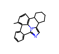 Cc1ccc2c3c1c1ccccc1c1ncc(n13)C1CCCCC21